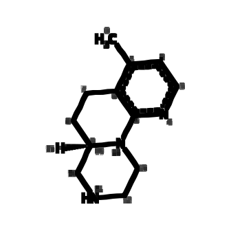 Cc1ccnc2c1CC[C@@H]1CNCCN21